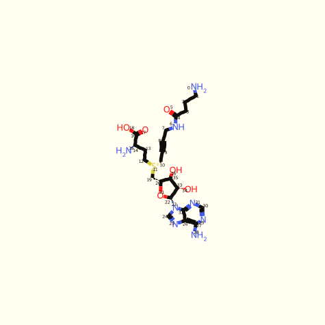 NCCCC(=O)NCC#CC[S@@+](CC[C@H](N)C(=O)O)C[C@H]1O[C@@H](n2cnc3c(N)ncnc32)[C@@H](O)C1O